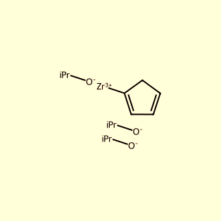 CC(C)[O-].CC(C)[O-].CC(C)[O-].[Zr+3][C]1=CC=CC1